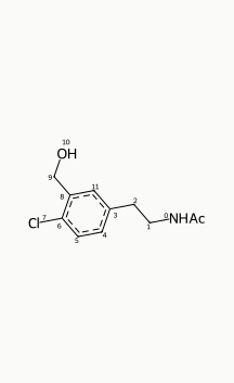 CC(=O)NCCc1ccc(Cl)c(CO)c1